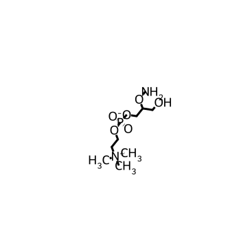 C[N+](C)(C)CCOP(=O)([O-])OCC(CO)ON